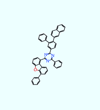 c1ccc(-c2nc(-c3ccc(-c4ccc5ccccc5c4)c(-c4ccccc4)c3)nc(-c3cccc4oc5c(-c6ccccc6)cccc5c34)n2)cc1